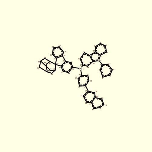 c1ccc(-n2c3ccccc3c3ccc(N(c4ccc(-c5ccc6ccccc6c5)cc4)c4ccc5c(c4)-c4ccccc4C54C5CC6CC(C5)CC4C6)cc32)cc1